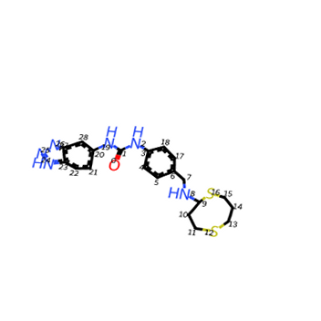 O=C(Nc1ccc(CNC2CCSCCCS2)cc1)Nc1ccc2[nH]nnc2c1